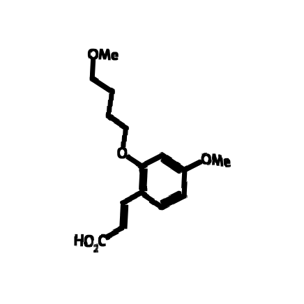 COCCCCOc1cc(OC)ccc1C=CC(=O)O